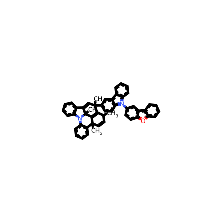 CC1C=CC2(C)C3=C1C(C)(c1ccc4c(c1)c1ccccc1n4-c1ccc4oc5ccccc5c4c1)C=C1c4ccccc4N(c4ccccc42)C13C